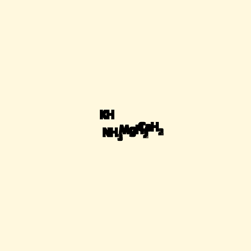 N.[CaH2].[KH].[MgH2]